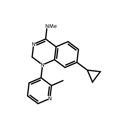 CNC1=NCN(c2cccnc2C)c2cc(C3CC3)ccc21